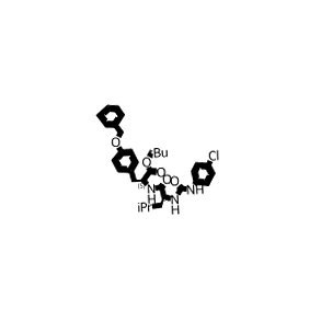 CC(C)C[C@H](NC(=O)Nc1ccc(Cl)cc1)C(=O)N[C@@H](Cc1ccc(OCc2ccccc2)cc1)C(=O)OC(C)(C)C